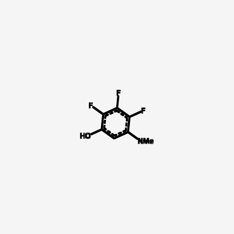 CNc1cc(O)c(F)c(F)c1F